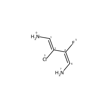 N/C=C(Cl)/C(F)=C\N